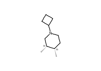 C[C@@H]1CN(C2CCC2)CC[C@@H]1C